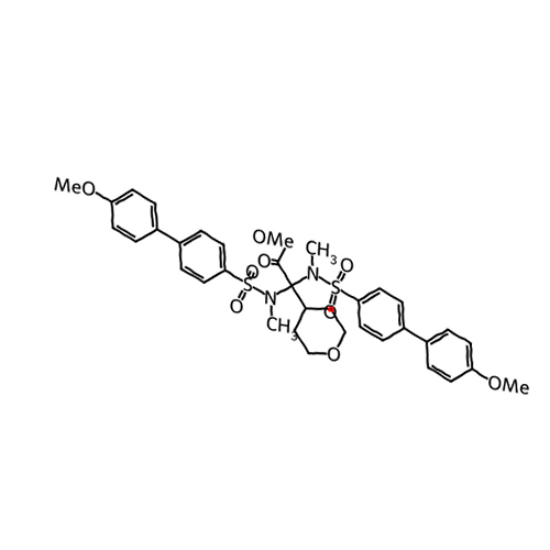 COC(=O)C(C1CCOCC1)(N(C)S(=O)(=O)c1ccc(-c2ccc(OC)cc2)cc1)N(C)S(=O)(=O)c1ccc(-c2ccc(OC)cc2)cc1